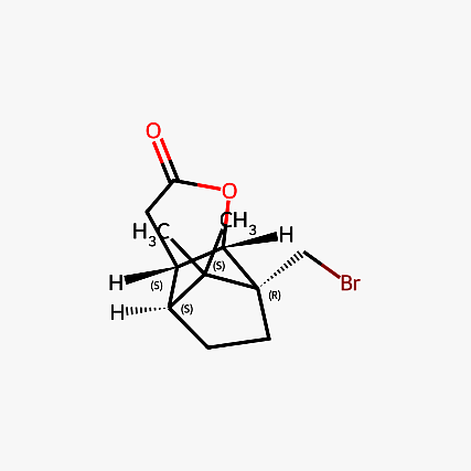 CC1(C)[C@H]2CC[C@]1(CBr)[C@H]1OC(=O)C[C@@H]21